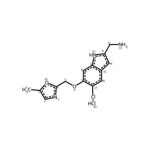 Cc1cnc(COc2cc3[nH]c(CN)cc3cc2Cl)o1.Cl